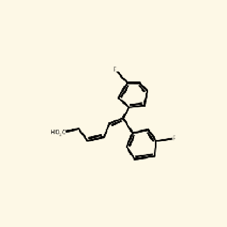 O=C(O)C/C=C\C=C(c1cccc(F)c1)c1cccc(F)c1